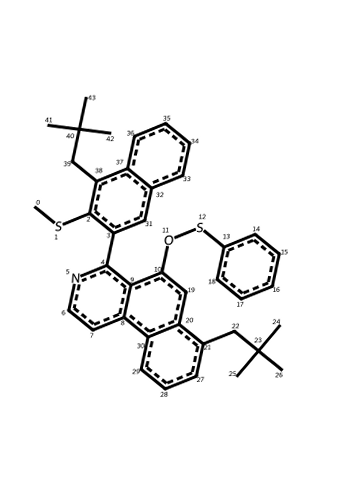 CSc1c(-c2nccc3c2c(OSc2ccccc2)cc2c(CC(C)(C)C)cccc23)cc2ccccc2c1CC(C)(C)C